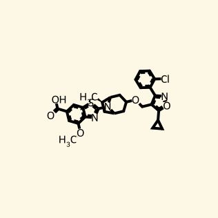 COc1cc(C(=O)O)cc2sc(N3C4CC(OCc5c(-c6ccccc6Cl)noc5C5CC5)CC3[C@H](C)C4)nc12